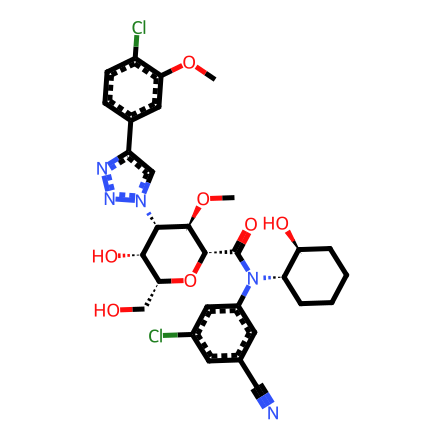 COc1cc(-c2cn([C@H]3[C@@H](O)[C@@H](CO)O[C@@H](C(=O)N(c4cc(Cl)cc(C#N)c4)[C@H]4CCCC[C@@H]4O)[C@@H]3OC)nn2)ccc1Cl